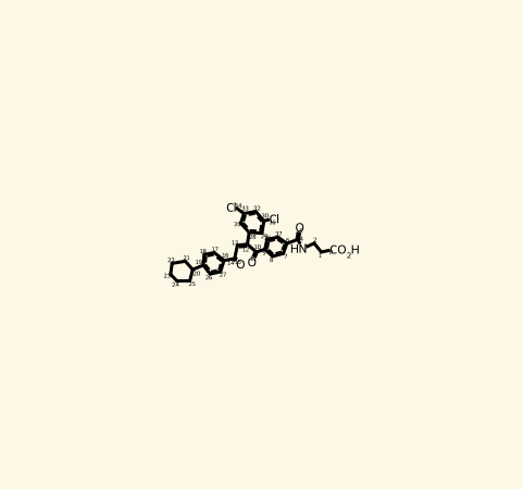 O=C(O)CCNC(=O)c1ccc(C(=O)/C(=C\C(=O)c2ccc(C3CCCCC3)cc2)c2cc(Cl)cc(Cl)c2)cc1